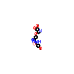 COc1ccc(C(=O)Nc2nn(C)c3cc(Oc4ccnc5cc(OC)c(OC)cc45)ccc23)cc1